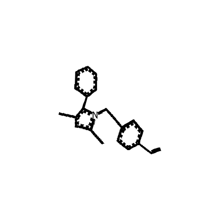 C=Cc1ccc(Cn2c(C)cc(C)c2-c2ccccc2)cc1